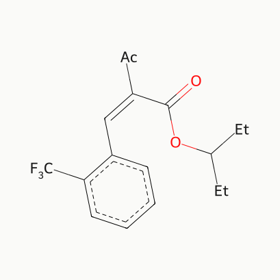 CCC(CC)OC(=O)C(=Cc1ccccc1C(F)(F)F)C(C)=O